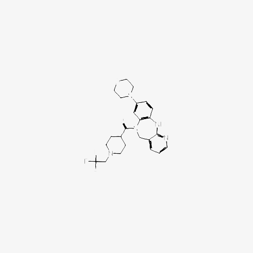 O=C(C1CCN(CC(F)(F)F)CC1)N1Cc2cccnc2Nc2ccc(N3CCOCC3)cc21